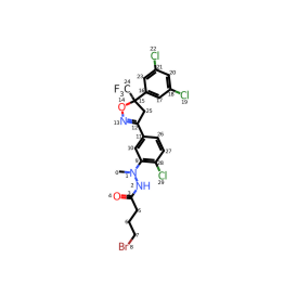 CN(NC(=O)CCCBr)c1cc(C2=NOC(c3cc(Cl)cc(Cl)c3)(C(F)(F)F)C2)ccc1Cl